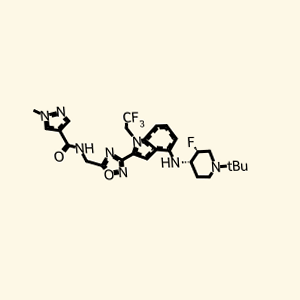 Cn1cc(C(=O)NCc2nc(-c3cc4c(N[C@H]5CCN(C(C)(C)C)C[C@H]5F)cccc4n3CC(F)(F)F)no2)cn1